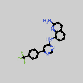 Nc1ccc2cccc(Nc3cc(-c4ccc(C(F)(F)F)cc4)ncn3)c2n1